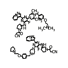 C[C@@H]1CN(c2nc(-c3cnn4ccccc34)nc(N[C@@H]3CCCN(C(=O)CC#N)C3)c2F)C[C@H](C)N1Cc1ccc(OCCN(C)C)cc1.N#CCC(=O)N1CCC[C@@H](Nc2nc(-c3cnn4ccccc34)nc(N3CCN(Cc4ccc(OCCN5CCCC5)cc4)CC3)c2F)C1